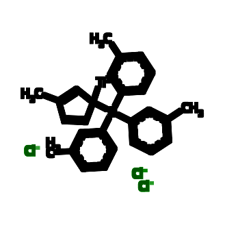 CC1=C[C]([Ti+3])([Si](c2cccc(C)c2)(c2cccc(C)c2)c2cccc(C)c2)C=C1.[Cl-].[Cl-].[Cl-]